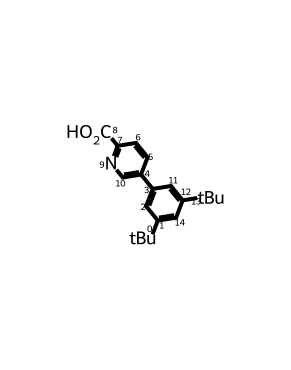 CC(C)(C)c1cc(-c2ccc(C(=O)O)nc2)cc(C(C)(C)C)c1